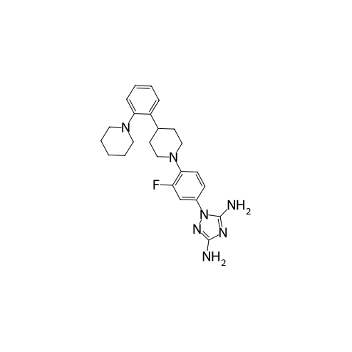 Nc1nc(N)n(-c2ccc(N3CCC(c4ccccc4N4CCCCC4)CC3)c(F)c2)n1